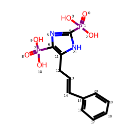 O=P(O)(O)c1nc(P(=O)(O)O)c(CC=Cc2ccccc2)[nH]1